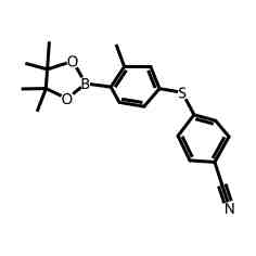 Cc1cc(Sc2ccc(C#N)cc2)ccc1B1OC(C)(C)C(C)(C)O1